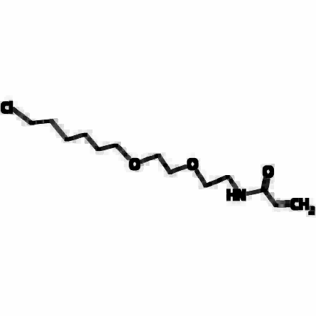 C=CC(=O)NCCOCCOCCCCCCCl